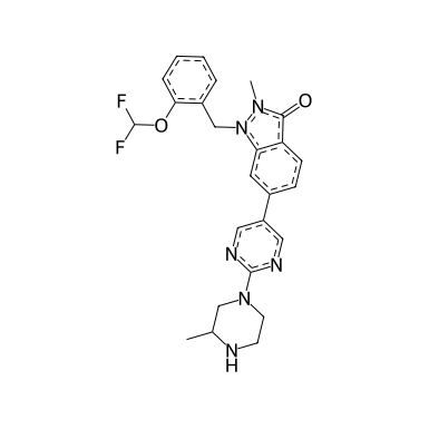 CC1CN(c2ncc(-c3ccc4c(=O)n(C)n(Cc5ccccc5OC(F)F)c4c3)cn2)CCN1